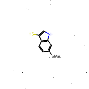 CSc1ccc2c(S)c[nH]c2c1